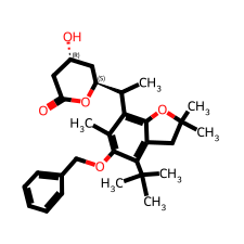 Cc1c(OCc2ccccc2)c(C(C)(C)C)c2c(c1C(C)[C@@H]1C[C@@H](O)CC(=O)O1)OC(C)(C)C2